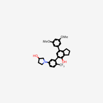 COc1cc(OC)cc(-c2cc(-c3cc(N4CCC(O)C4)ccc3C(F)(F)F)c(O)c3c2CCC3)c1